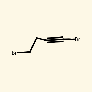 BrC#CCCBr